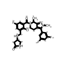 CC1c2nn(C)c(-c3cc(F)cc(F)c3)c2CCN1C(=O)c1cc(F)cc(CNC2CNC(=O)C2)c1Cl